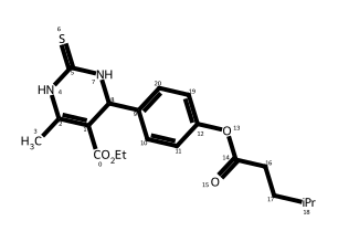 CCOC(=O)C1=C(C)NC(=S)NC1c1ccc(OC(=O)CCC(C)C)cc1